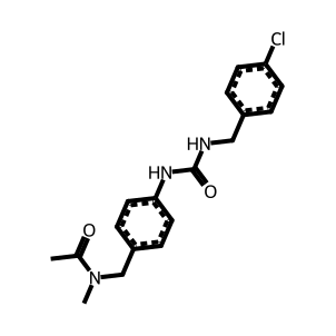 CC(=O)N(C)Cc1ccc(NC(=O)NCc2ccc(Cl)cc2)cc1